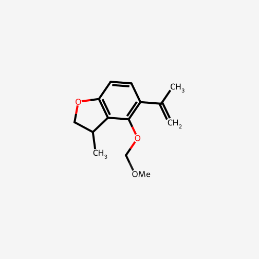 C=C(C)c1ccc2c(c1OCOC)C(C)CO2